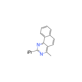 Cc1nc(C(C)C)nc2c1ccc1ccccc12